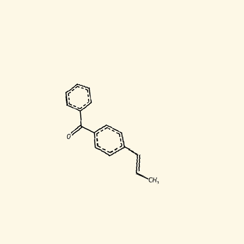 CC=Cc1ccc(C(=O)c2ccccc2)cc1